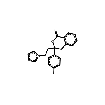 O=C1OC(CCn2cccc2)(c2ccc(Cl)cc2)Cc2ccccc21